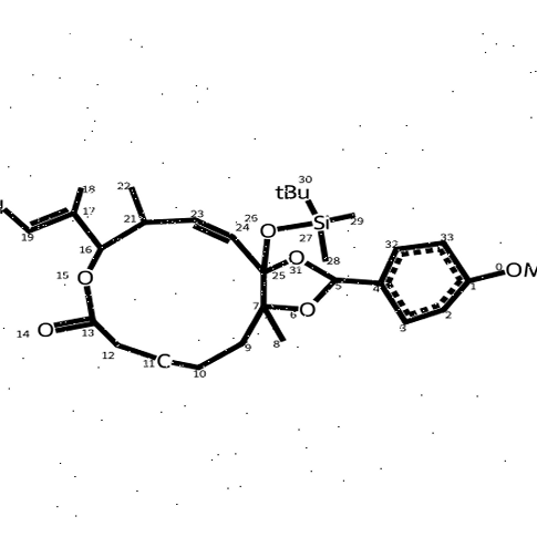 COc1ccc(C2OC3(C)CCCCC(=O)OC(/C(C)=C/I)C(C)C=CC3(O[Si](C)(C)C(C)(C)C)O2)cc1